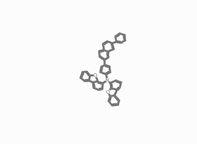 c1ccc(-c2ccc3ccc(-c4ccc(N(c5cccc6c5oc5ccccc56)c5cccc6c5oc5ccccc56)cc4)cc3c2)cc1